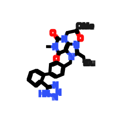 COC(=O)Cn1c(=O)n(C)c(=O)c2c1nc(CC(C)(C)C)n2Cc1ccc(-c2ccccc2-c2nnn[nH]2)cc1